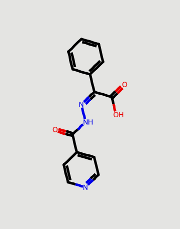 O=C(O)C(=NNC(=O)c1ccncc1)c1ccccc1